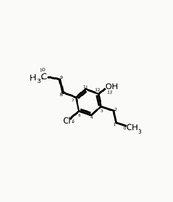 CCCc1cc(Cl)c(CCC)cc1O